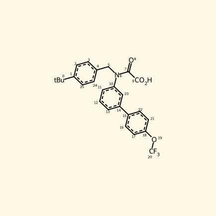 CC(C)(C)c1ccc(CN(C(=O)C(=O)O)c2cccc(-c3ccc(OC(F)(F)F)cc3)c2)cc1